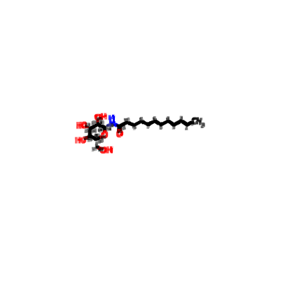 CCCCCCCCCCCC(=O)N[C@@H]1O[C@H](CO)[C@@H](O)[C@H](O)[C@H]1O